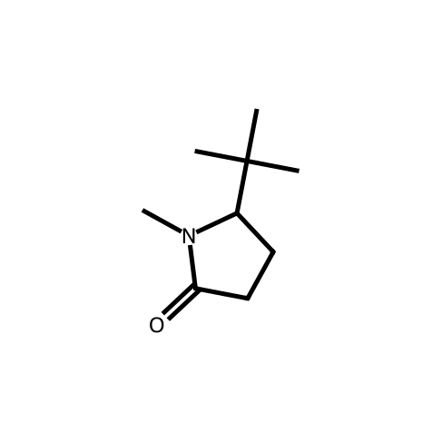 CN1C(=O)CCC1C(C)(C)C